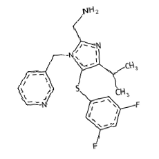 CC(C)c1nc(CN)n(Cc2cccnc2)c1Sc1cc(F)cc(F)c1